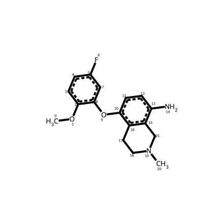 COc1ccc(F)cc1Oc1ccc(N)c2c1CCN(C)C2